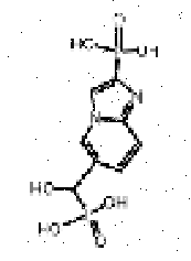 O=P(O)(O)c1cn2cc(C(O)P(=O)(O)O)ccc2n1